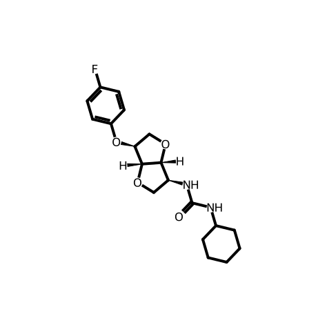 O=C(NC1CCCCC1)N[C@H]1CO[C@H]2[C@@H]1OC[C@@H]2Oc1ccc(F)cc1